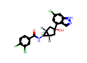 O=C(N[C@H]1[C@@H]2C[C@](O)(c3cc(Cl)cc4[nH]ncc34)C[C@@H]21)c1ccc(F)c(Br)c1